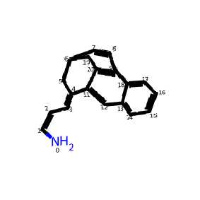 N/C=C\C=C1/CC2C=Cc3c(c1cc1ccccc31)C2